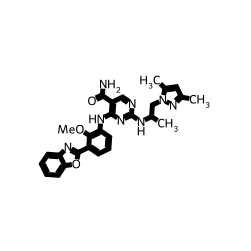 COc1c(Nc2nc(NC(C)Cn3nc(C)cc3C)ncc2C(N)=O)cccc1-c1nc2ccccc2o1